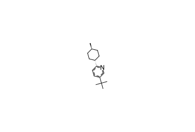 CC(C)(C)c1ccc([C@H]2CC[C@H](C)CC2)nc1